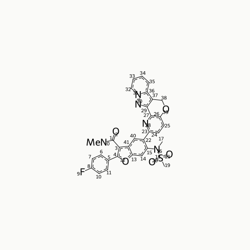 CNC(=O)c1c(-c2ccc(F)cc2)oc2cc(N(C)S(C)(=O)=O)c(-c3ccc4c(n3)-c3nn5ccccc5c3CO4)cc12